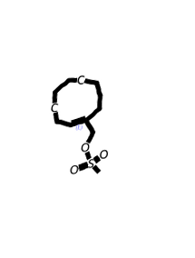 CS(=O)(=O)OC/C1=C/CCCCCCCC1